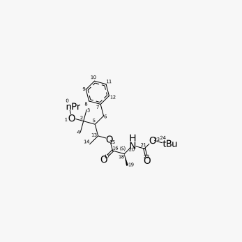 CCCOC(C)(C)C(Cc1ccccc1)C(C)OC(=O)[C@H](C)NC(=O)OC(C)(C)C